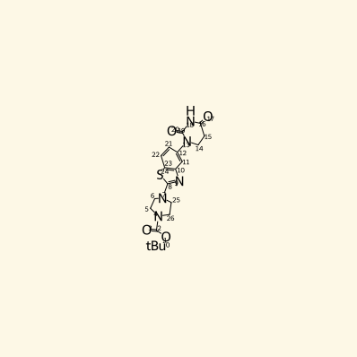 CC(C)(C)OC(=O)N1CCN(c2nc3cc(N4CCC(=O)NC4=O)ccc3s2)CC1